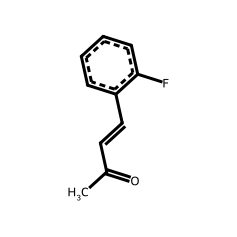 CC(=O)/C=C/c1ccccc1F